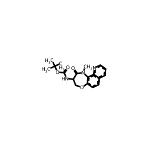 CN1C(=O)C(NC(=O)OC(C)(C)C)COc2ccc3cccnc3c21